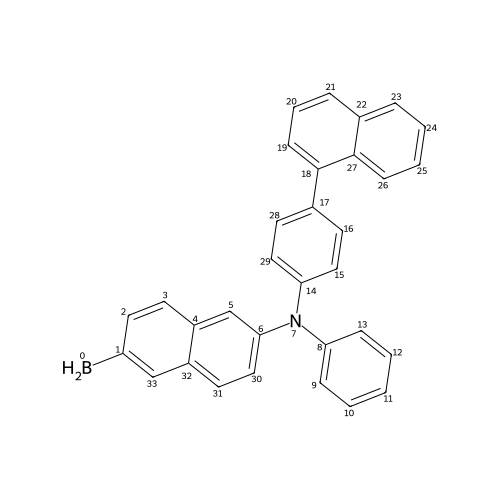 Bc1ccc2cc(N(c3ccccc3)c3ccc(-c4cccc5ccccc45)cc3)ccc2c1